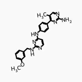 COc1cccc(CNc2nccc(Nc3ccc(-c4nc(N)ncc4C)cc3)n2)c1